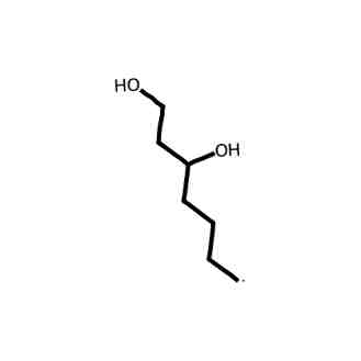 [CH2]CCCC(O)CCO